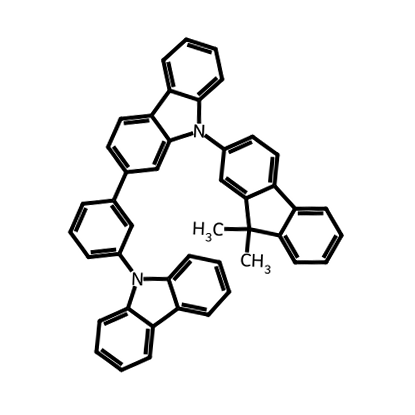 CC1(C)c2ccccc2-c2ccc(-n3c4ccccc4c4ccc(-c5cccc(-n6c7ccccc7c7ccccc76)c5)cc43)cc21